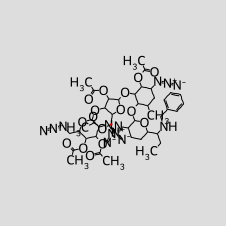 CCC(NCc1ccccc1)C1CCC(N=[N+]=[N-])C(OC2C(C)CC(N=[N+]=[N-])C(OC(C)=O)C2OC2OC(COC(C)=O)C(OC3OC(CN=[N+]=[N-])C(OC(C)=O)C(OC(C)=O)C3N=[N+]=[N-])C2OC(C)=O)O1